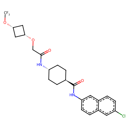 O=C(CO[C@H]1C[C@@H](OC(F)(F)F)C1)N[C@H]1CC[C@H](C(=O)Nc2ccc3cc(Cl)ccc3c2)CC1